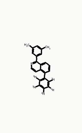 [2H]c1c([2H])c([2H])c(-c2cccc3c(-c4cc(C)cc(C)c4)nccc23)c([2H])c1[2H]